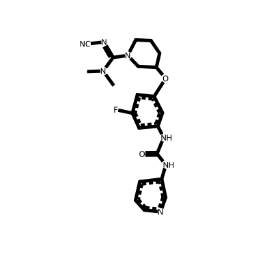 CN(C)/C(=N\C#N)N1CCCC(Oc2cc(F)cc(NC(=O)Nc3cccnc3)c2)C1